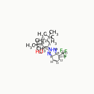 CC(C)(C)c1cc(-n2nc3cccc(C(F)(F)F)c3n2)c(O)c(C(C)(C)C)c1